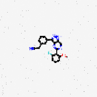 COc1cccc(F)c1-c1ncc2[nH]nc(-c3cccc(CC#N)c3)c2n1